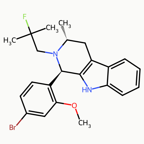 COc1cc(Br)ccc1[C@@H]1c2[nH]c3ccccc3c2C[C@@H](C)N1CC(C)(C)F